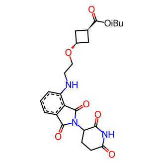 CC(C)COC(=O)[C@H]1C[C@@H](OCCNc2cccc3c2C(=O)N(C2CCC(=O)NC2=O)C3=O)C1